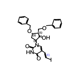 O=c1[nH]c(=O)n([C@H]2C[C@H](OCc3ccccc3)[C@@H](COCc3ccccc3)[C@@H]2O)cc1/C=C/I